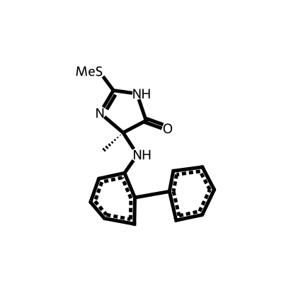 CSC1=N[C@](C)(Nc2ccccc2-c2ccccc2)C(=O)N1